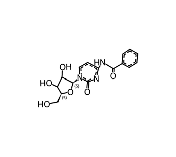 O=C(Nc1ccn([C@H]2O[C@@H](CO)C(O)C2O)c(=O)n1)c1ccccc1